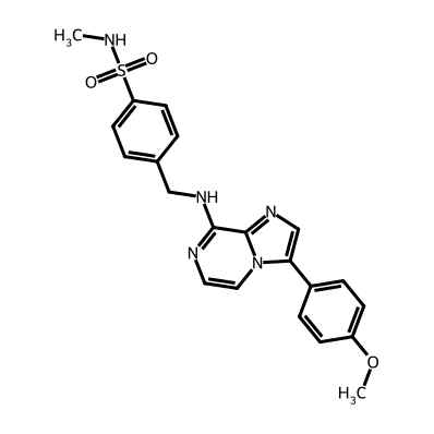 CNS(=O)(=O)c1ccc(CNc2nccn3c(-c4ccc(OC)cc4)cnc23)cc1